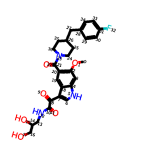 COc1cc2[nH]cc(C(=O)C(=O)NCC(O)CO)c2cc1C(=O)N1CCC(Cc2ccc(F)cc2)CC1